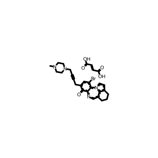 CN1CCN(CC#CCc2cc(Br)c3n4ccc5c4c(cnc-3c2=O)CCC5)CC1.O=C(O)/C=C/C(=O)O